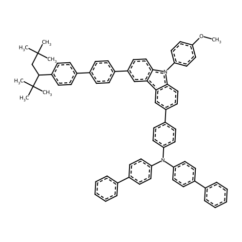 COc1ccc(-n2c3ccc(-c4ccc(-c5ccc(C(CC(C)(C)C)C(C)(C)C)cc5)cc4)cc3c3cc(-c4ccc(N(c5ccc(-c6ccccc6)cc5)c5ccc(-c6ccccc6)cc5)cc4)ccc32)cc1